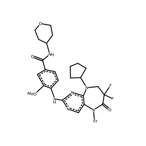 CCN1C(=O)C(F)(F)CN(C2CCCC2)c2nc(Nc3ccc(C(=O)NC4CCOCC4)cc3OC)ncc21